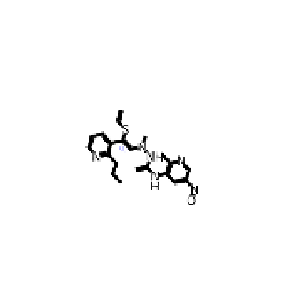 C=CS/C(=C\N(C)NC(=C)Nc1cc(N=O)cnc1C)c1cccnc1CCC